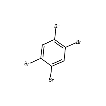 Brc1cc(Br)c(Br)cc1Br